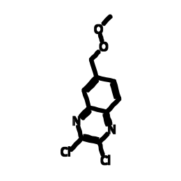 COOCc1ccc2nc(Cl)c(Cl)nc2c1